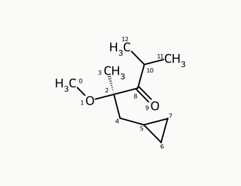 CO[C@](C)(CC1CC1)C(=O)C(C)C